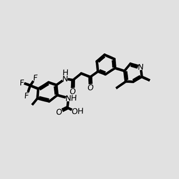 Cc1cc(C)c(-c2cccc(C(=O)CC(=O)Nc3cc(C(F)(F)F)c(C)cc3NC(=O)O)c2)cn1